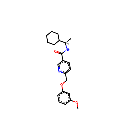 COc1cccc(OCc2ccc(C(=O)N[C@H](C)C3CCCCC3)cn2)c1